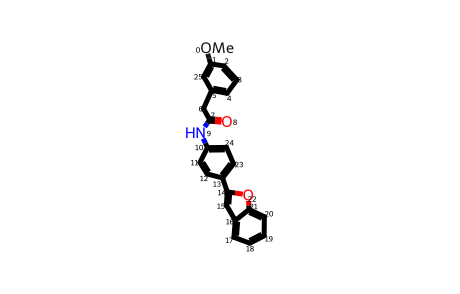 COc1cccc(CC(=O)Nc2ccc(-c3cc4ccccc4o3)cc2)c1